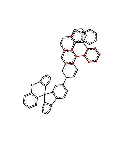 C1=CC(c2ccc3c(c2)C2(c4ccccc4Oc4ccccc42)c2ccccc2-3)CC=C1N(c1ccccc1-c1ccccc1-c1ccccc1-c1ccccc1)c1cccc2sc3ccccc3c12